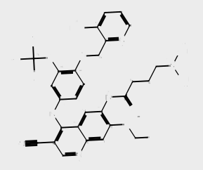 CCOc1cc2ncc(C#N)c(Nc3ccc(OCc4ncccc4C)c(OC(F)(F)F)c3)c2cc1NC(=O)CCCN(C)C